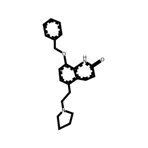 O=c1ccc2c(CCN3CCCC3)ccc(OCc3ccccc3)c2[nH]1